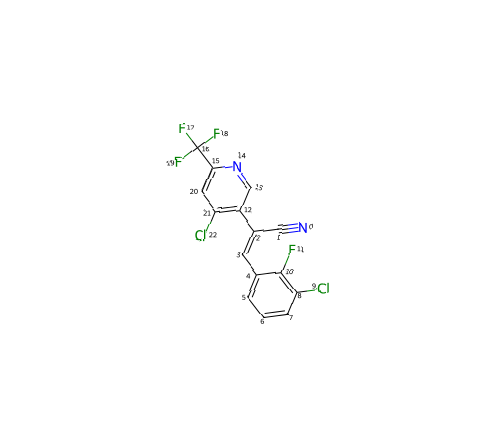 N#CC(=Cc1cccc(Cl)c1F)c1cnc(C(F)(F)F)cc1Cl